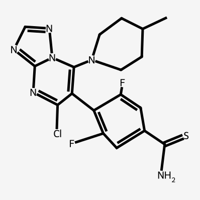 CC1CCN(c2c(-c3c(F)cc(C(N)=S)cc3F)c(Cl)nc3ncnn23)CC1